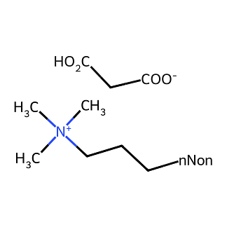 CCCCCCCCCCCC[N+](C)(C)C.O=C([O-])CC(=O)O